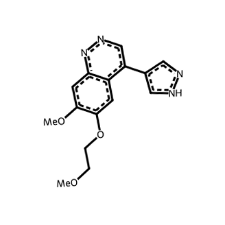 COCCOc1cc2c(-c3cn[nH]c3)cnnc2cc1OC